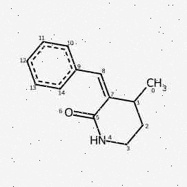 CC1CCNC(=O)C1=Cc1ccccc1